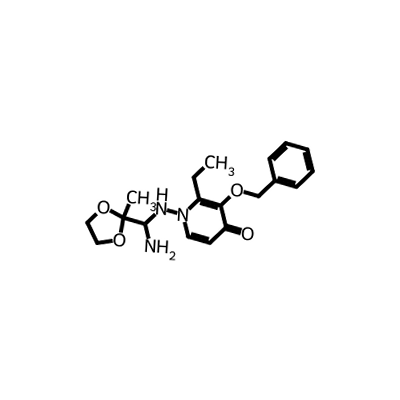 CCc1c(OCc2ccccc2)c(=O)ccn1NC(N)C1(C)OCCO1